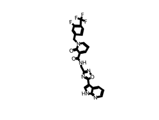 O=C(NCc1noc(-c2c[nH]c3ncccc23)n1)c1cccn(Cc2ccc(C(F)(F)F)c(F)c2)c1=O